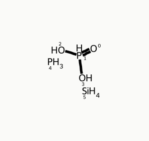 O=[PH](O)O.P.[SiH4]